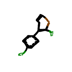 Clc1ccc([C]2C=CSC2Cl)cc1